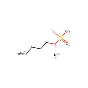 CCCCCCCCOP(=O)([O-])[O-].[Ni+2]